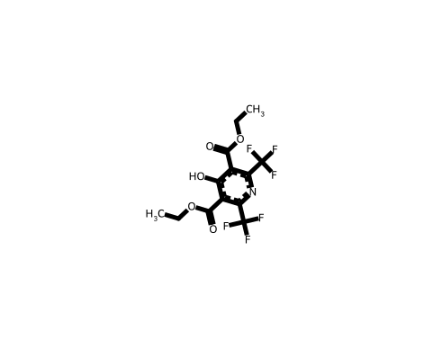 CCOC(=O)c1c(C(F)(F)F)nc(C(F)(F)F)c(C(=O)OCC)c1O